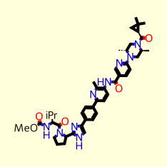 COC(=O)N[C@H](C(=O)N1CCCC1c1nc(-c2ccc(-c3ccc(NC(=O)c4ccc(N5C[C@H](C)N(C(=O)[C@H]6CC6(C)C)C[C@H]5C)nc4)c(C)n3)cc2)c[nH]1)C(C)C